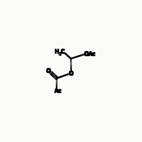 CC(=O)OC(C)OC(=O)C(C)=O